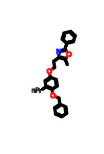 CCCc1cc(OCCc2nc(-c3ccccc3)oc2C)ccc1OCc1ccccc1